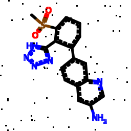 CS(=O)(=O)c1cccc(-c2ccc3cc(N)cnc3c2)c1-c1nnn[nH]1